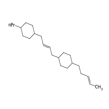 CC=CCCC1CCC(CC=CCC2CCC(CCC)CC2)CC1